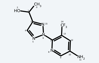 CC(O)c1cnn(-c2ncc(N)cc2C(F)(F)F)n1